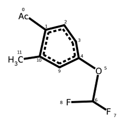 CC(=O)c1ccc(OC(F)F)cc1C